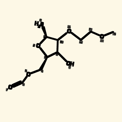 B[C@@H]1O[C@H](COC=O)C(O)C1OCCOC